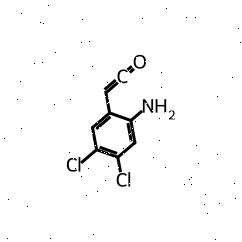 Nc1cc(Cl)c(Cl)cc1C=C=O